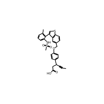 CC#CC(CC(=O)O)c1ccc(OCc2ccc3scc(-c4c(C)cccc4NS(C)(=O)=O)c3c2)cc1